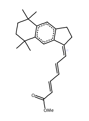 COC(=O)C=CC=C/C=C1/CCc2cc3c(cc21)C(C)(C)CCC3(C)C